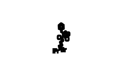 CC(C)[C@H](Br)/C=C/CCC(=O)N1C(=O)OC[C@@H]1Cc1ccccc1